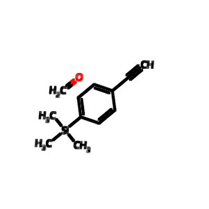 C#Cc1ccc([Si](C)(C)C)cc1.C=O